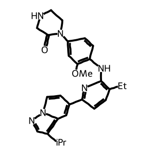 CCc1ccc(-c2ccn3ncc(C(C)C)c3c2)nc1Nc1ccc(N2CCNCC2=O)cc1OC